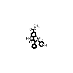 COC(=O)c1ccc2c(c1)NC(=O)C2=C(c1ccccc1)N(C)C1CCNCC1